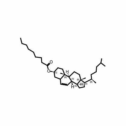 CCCCCCCCC(=O)O[C@H]1CC[C@@]2(C)C(C=C[C@H]3[C@@H]4CC[C@H]([C@H](C)CCCC(C)C)[C@@]4(C)CC[C@@H]32)C1